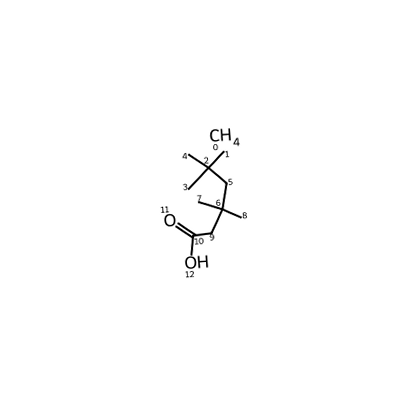 C.CC(C)(C)CC(C)(C)CC(=O)O